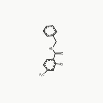 O=C(NCc1cc[c]cc1)c1ccc(C(F)(F)F)cc1Cl